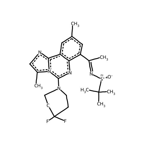 CC(=N[S@+]([O-])C(C)(C)C)c1cc(C)cc2c1nc(N1CCC(F)(F)CC1)n1c(C)cnc21